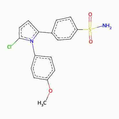 COc1ccc(-n2c(Cl)ccc2-c2ccc(S(N)(=O)=O)cc2)cc1